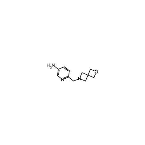 Nc1ccc(CN2CC3(COC3)C2)nc1